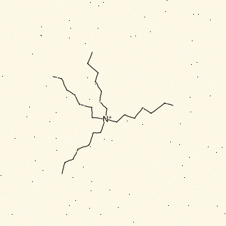 CCCCCCC[N+](CCCCCCC)(CCCCCCC)CCCCCCC